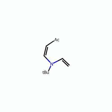 C=CN(/C=C\C(C)=O)C(C)(C)C